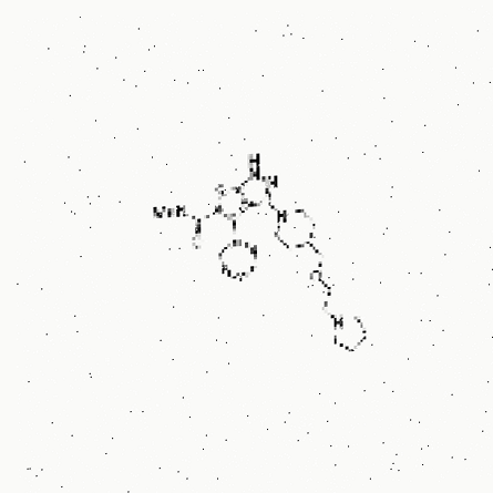 CNC(=O)c1sc2[nH]nc(N3CCC(COCCN4CCCC4)CC3)c2c1-c1ccccc1